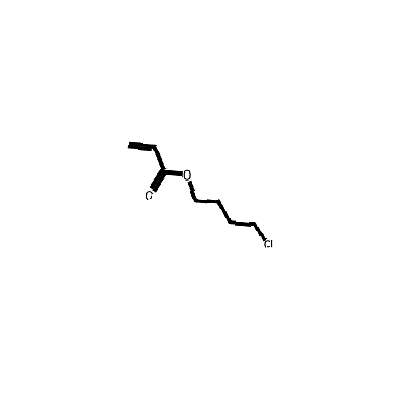 C=CC(=O)OCCCCCl